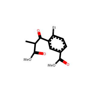 CCc1ccc(C(=O)OC)cc1C(=O)C(C)C(=O)OC